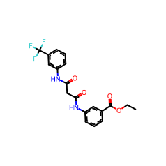 CCOC(=O)c1cccc(NC(=O)CC(=O)Nc2cccc(C(F)(F)F)c2)c1